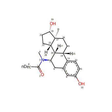 CCCCCCCCCCC(=O)N(C)[C@@H]1Cc2cc(O)ccc2[C@H]2CC[C@]3(C)[C@@H](O)CC[C@H]3[C@H]21